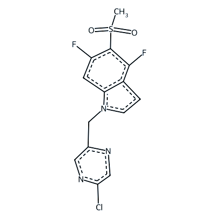 CS(=O)(=O)c1c(F)cc2c(ccn2Cc2cnc(Cl)cn2)c1F